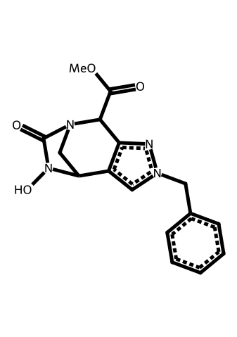 COC(=O)C1c2nn(Cc3ccccc3)cc2C2CN1C(=O)N2O